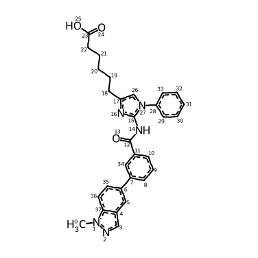 Cn1ncc2cc(-c3cccc(C(=O)Nc4nc(CCCCCC(=O)O)cn4-c4ccccc4)c3)ccc21